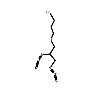 CCCCOCC(CN=[N+]=[N-])N=[N+]=[N-]